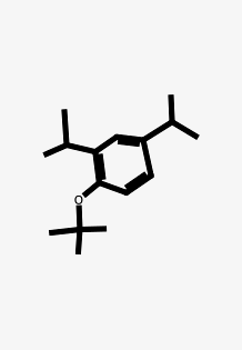 CC(C)c1ccc(OC(C)(C)C)c(C(C)C)c1